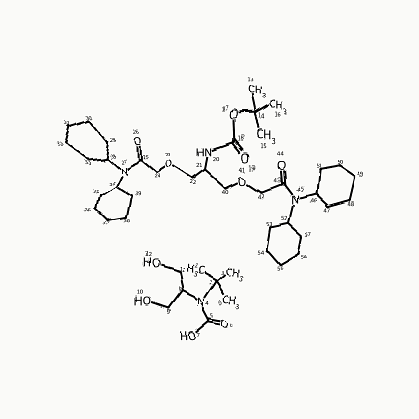 CC(C)(C)N(C(=O)O)C(CO)CO.CC(C)(C)OC(=O)NC(COCC(=O)N(C1CCCCC1)C1CCCCC1)COCC(=O)N(C1CCCCC1)C1CCCCC1